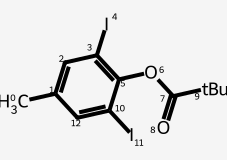 Cc1cc(I)c(OC(=O)C(C)(C)C)c(I)c1